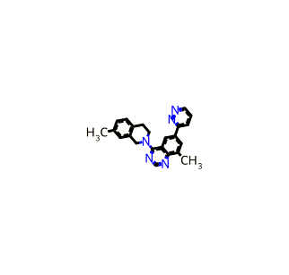 Cc1ccc2c(c1)CN(c1ncnc3c(C)cc(-c4cccnn4)cc13)CC2